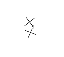 [CH2]C(C)(C)SC(C)(C)C